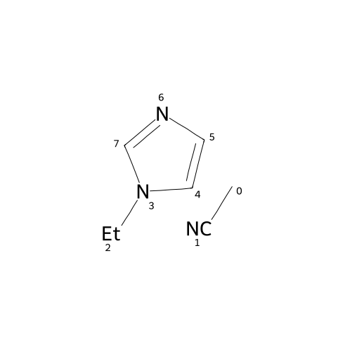 CC#N.CCn1ccnc1